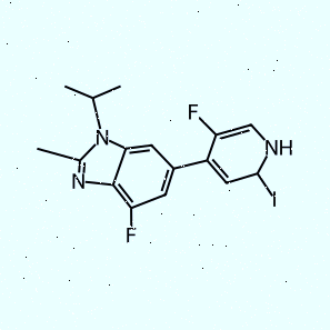 Cc1nc2c(F)cc(C3=CC(I)NC=C3F)cc2n1C(C)C